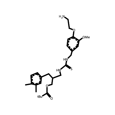 COc1cc(CNC(=S)NCC(COC(=O)C(C)(C)C)Cc2ccc(C)c(C)c2)ccc1OCCN